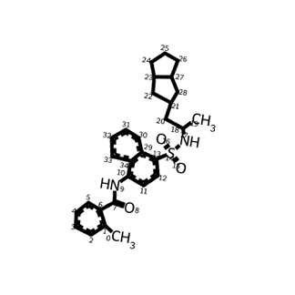 Cc1ccccc1C(=O)Nc1ccc(S(=O)(=O)NC(C)CC2CC3CCCC3C2)c2ccccc12